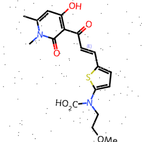 COCCN(C(=O)O)c1ccc(/C=C/C(=O)c2c(O)cc(C)n(C)c2=O)s1